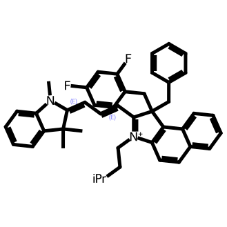 CC(C)CC[N+]1=C(/C=C/C=C2/N(C)c3ccccc3C2(C)C)C(Cc2ccccc2)(Cc2ccc(F)cc2F)c2c1ccc1ccccc21